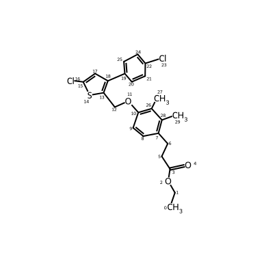 CCOC(=O)CCc1ccc(OCc2sc(Cl)cc2-c2ccc(Cl)cc2)c(C)c1C